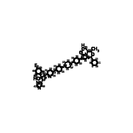 CC[C@@H]([C@H](C)OCc1ccccc1)n1ncn(-c2ccc(N3CCN(c4ccc(-c5ccc(C(F)(F)C(O)(Cn6cncn6)c6ccc(F)cc6F)nc5)cc4)CC3)cc2)c1=O